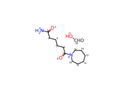 NC(=O)CCCCC(=O)N1CCCCCC1.O=CO